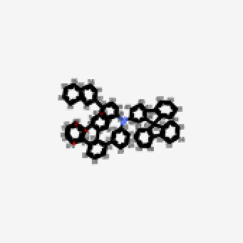 c1ccc(-c2ccccc2-c2c(-c3ccccc3)cccc2-c2cccc(N(c3ccc(-c4ccc5ccccc5c4)cc3)c3ccc4c(c3)C3(c5ccccc5-c5ccccc53)c3ccccc3-4)c2)cc1